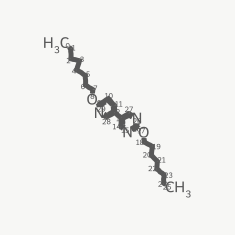 CCCCCCCCOc1ccc(-c2cnc(OCCCCCCCC)nc2)cn1